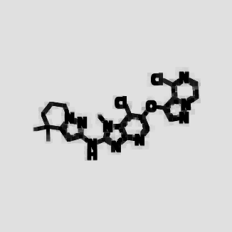 Cn1c(Nc2cc3n(n2)CCCC3(C)C)nc2ncc(Oc3cnn4ccnc(Cl)c34)c(Cl)c21